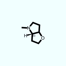 CN1CCC2OCC[C@@H]21